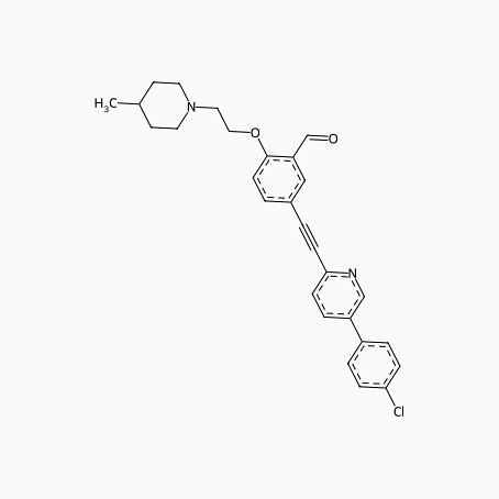 CC1CCN(CCOc2ccc(C#Cc3ccc(-c4ccc(Cl)cc4)cn3)cc2C=O)CC1